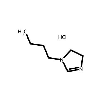 CCCCN1C=NCC1.Cl